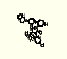 CCC1(C)CCC(Cl)=C=NC1C(C(=O)NC1CNCCC1N1CCC(N2CCN3CCNC3C2)CC1)C(N)N